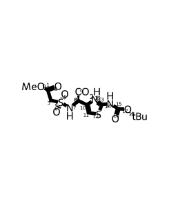 COC(=O)CS(=O)(=O)N[C@@H](C(=O)O)c1csc(NC(=O)OC(C)(C)C)n1